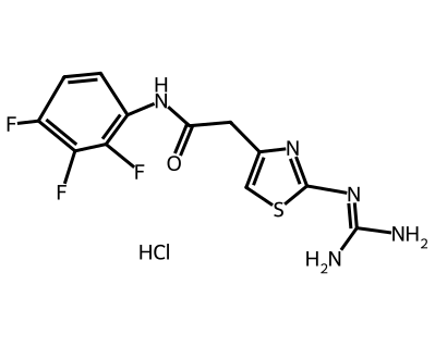 Cl.NC(N)=Nc1nc(CC(=O)Nc2ccc(F)c(F)c2F)cs1